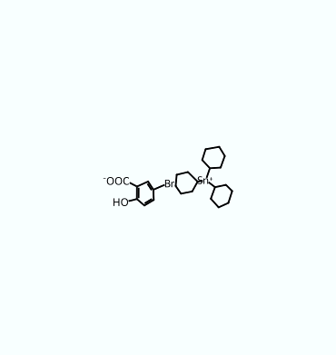 C1CC[CH]([Sn+]([CH]2CCCCC2)[CH]2CCCCC2)CC1.O=C([O-])c1cc(Br)ccc1O